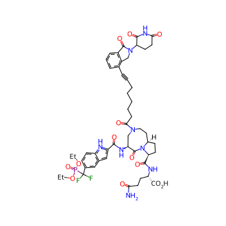 CCOP(=O)(OCC)C(F)(F)c1ccc2[nH]c(C(=O)N[C@H]3CN(C(=O)CCCCCC#Cc4cccc5c4CN(C4CCC(=O)NC4=O)C5=O)CC[C@H]4CC[C@@H](C(=O)N[C@@H](CCC(N)=O)C(=O)O)N4C3=O)cc2c1